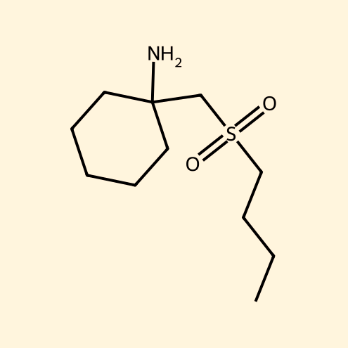 CCCCS(=O)(=O)CC1(N)CCCCC1